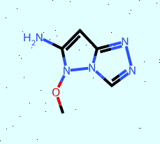 COn1c(N)cc2nncn21